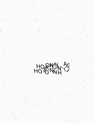 CC(=O)c1ccccc1CNc1ncnc2c1ncn2C1O[C@H](CO)[C@@H](O)[C@H]1O